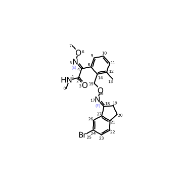 CNC(=O)/C(=N/OC)c1cccc(C)c1CO/N=C1\CCc2ccc(Br)cc21